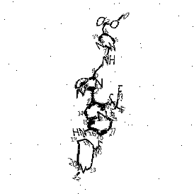 COC(=O)c1cnc(NCc2nc(-c3cc4c(N[C@@H]5CCN(C)C[C@@H]5F)cccn4c3SC(F)(F)F)no2)nc1